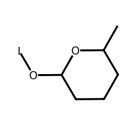 CC1CCCC(OI)O1